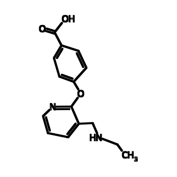 CCNCc1cccnc1Oc1ccc(C(=O)O)cc1